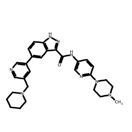 CN1CCN(c2ccc(NC(=O)c3n[nH]c4ccc(-c5cncc(CN6CCCCC6)c5)cc34)cn2)CC1